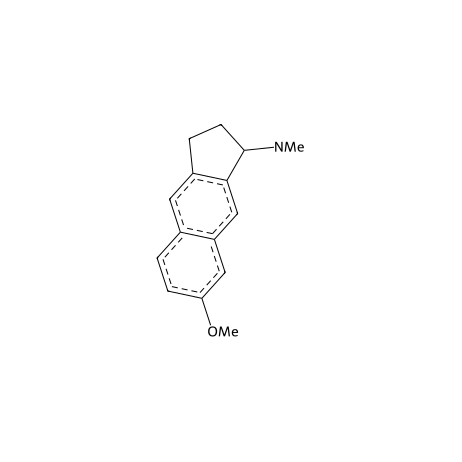 CNC1CCc2cc3ccc(OC)cc3cc21